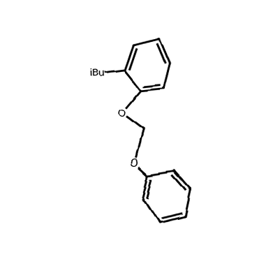 CCC(C)c1ccccc1OCOc1ccccc1